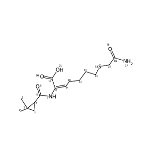 CC1(C)CC1C(=O)NC(=CCCCCSCC(N)=O)C(=O)O